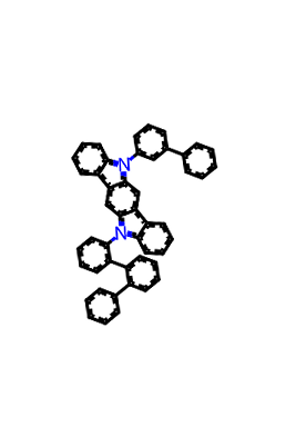 c1ccc(-c2cccc(-n3c4ccccc4c4cc5c(cc43)c3ccccc3n5-c3ccccc3-c3ccccc3-c3ccccc3)c2)cc1